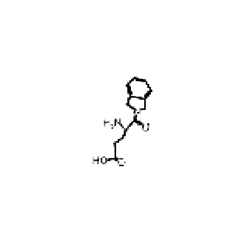 N[C@H](CCC(=O)O)C(=O)N1Cc2ccccc2C1